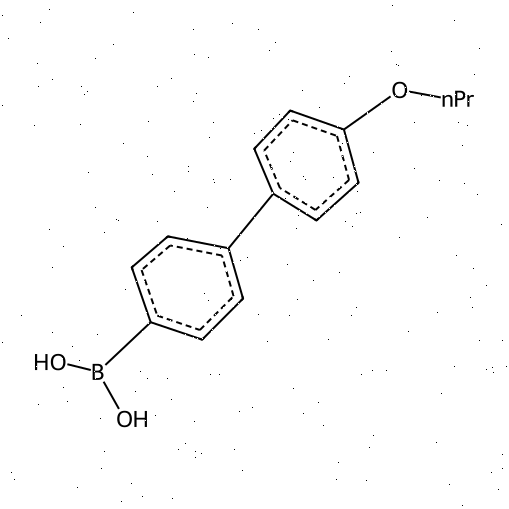 CCCOc1ccc(-c2ccc(B(O)O)cc2)cc1